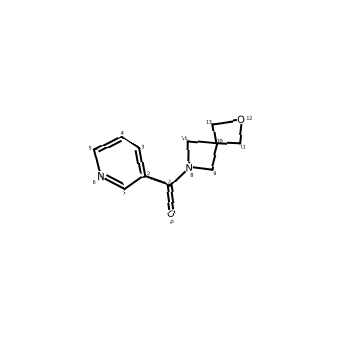 O=C(c1cc[c]nc1)N1CC2(COC2)C1